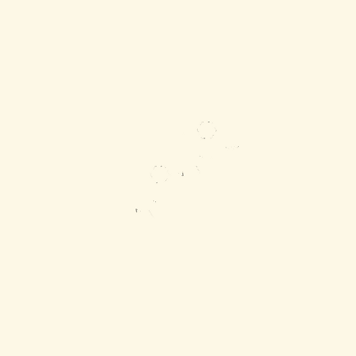 CNCCN(Cc1ccccc1C(F)(F)F)C(=O)CNc1cccc2c1CCN(C(=O)NC1CCCCC1)C2